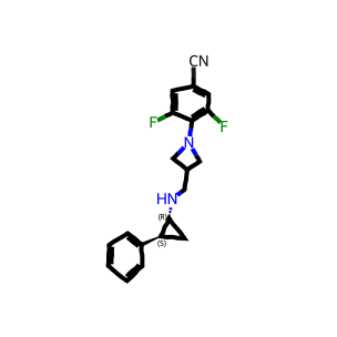 N#Cc1cc(F)c(N2CC(CN[C@@H]3C[C@H]3c3ccccc3)C2)c(F)c1